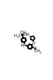 COc1ccc(Nc2ccc(C(C)(C)C)cc2)cc1OC1CCCC1